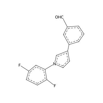 O=Cc1cccc(-c2ccn(-c3cc(F)ccc3F)c2)c1